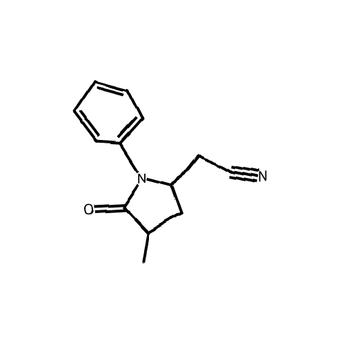 CC1CC(CC#N)N(c2ccccc2)C1=O